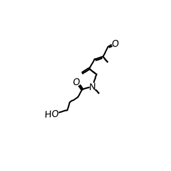 C=C(/C=C(\C)C=O)CN(C)C(=O)CCCO